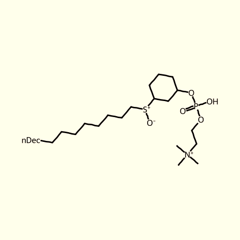 CCCCCCCCCCCCCCCCCC[S+]([O-])C1CCCC(OP(=O)(O)OCC[N+](C)(C)C)C1